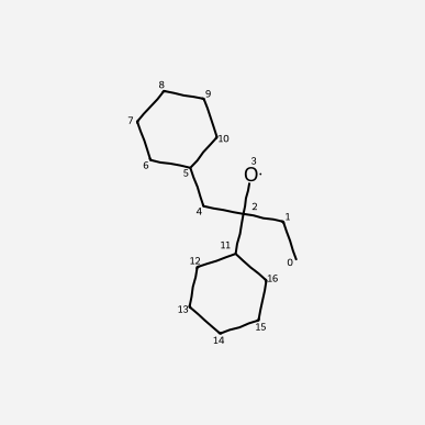 CCC([O])(CC1CCCCC1)C1CCCCC1